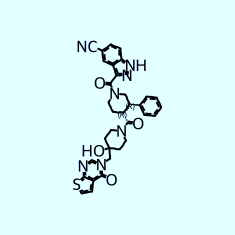 N#Cc1ccc2[nH]nc(C(=O)N3CC[C@@H](C(=O)N4CCC(O)(Cn5cnc6sccc6c5=O)CC4)[C@H](c4ccccc4)C3)c2c1